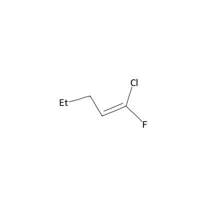 [CH2]CCC=C(F)Cl